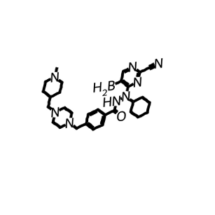 Bc1cnc(C#N)nc1N(NC(=O)c1ccc(CN2CCN(CC3CCN(C)CC3)CC2)cc1)C1CCCCC1